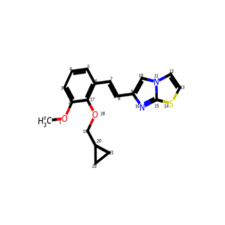 COc1cccc(C=Cc2cn3ccsc3n2)c1OCC1CC1